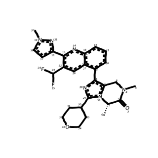 C[C@H]1C(=O)N(C)Cc2c(-c3cccc4nc(-c5ccn(C)n5)c(C(F)F)cc34)nc(C3CCOCC3)n21